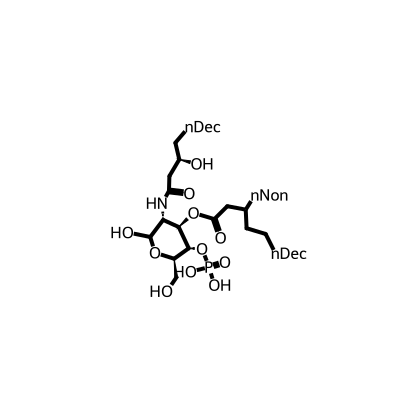 CCCCCCCCCCCCC(CCCCCCCCC)CC(=O)O[C@H]1[C@H](OP(=O)(O)O)[C@@H](CO)OC(O)[C@@H]1NC(=O)C[C@H](O)CCCCCCCCCCC